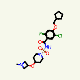 CN1CC(OC2CCN(S(=O)(=O)NC(=O)c3cc(Cl)c(OCC4CCCC4)cc3F)CC2)C1